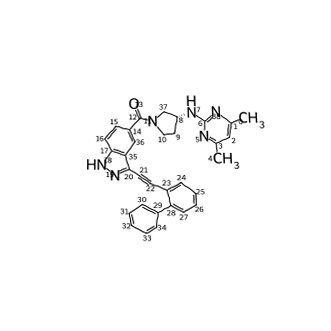 Cc1cc(C)nc(N[C@@H]2CCN(C(=O)c3ccc4[nH]nc(C#Cc5ccccc5-c5ccccc5)c4c3)C2)n1